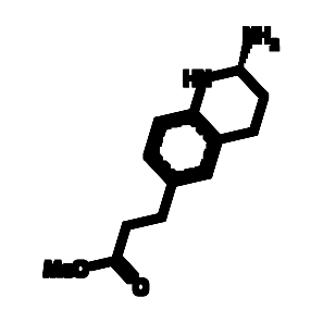 COC(=O)CCc1ccc2c(c1)CC[C@@H](N)N2